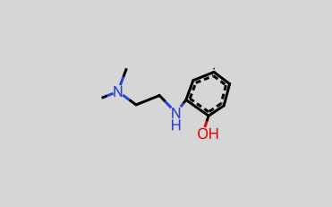 CN(C)CCNc1c[c]ccc1O